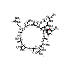 CC[C@H](C)[C@@H]1NC(=O)[C@@H](CCCNC(=N)N)NC(=O)[C@H](CC(C)C)NC(=O)[C@H]([C@H](O)C(C)C)NC(=O)[C@@H](NC(=O)[C@H](CC2CC2)NC(=O)[C@@H](CC(C)C)NC(=O)OC(C)(C)C)[C@@H](c2ccccc2)OC(=O)[C@H](CO)NC(=O)[C@H]([C@H](O)C(N)=O)NC(=O)CNC(=O)[C@H]([C@H](C)O)NC1=O